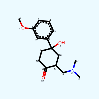 COc1cccc(C2(O)CCC(=O)C(CN(C)C)C2)c1